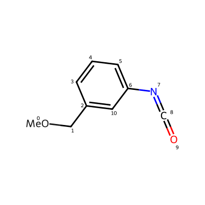 COCc1cccc(N=C=O)c1